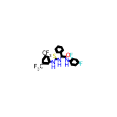 O=C(Nc1ccc(F)cc1F)[C@@H](NC(=S)Nc1cc(C(F)(F)F)cc(C(F)(F)F)c1)c1ccccc1